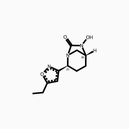 CCc1cc([C@@H]2CC[C@@H]3CN2C(=O)N3O)no1